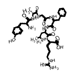 CC(C)CC(NC(=O)C(Cc1ccccc1)NC(=O)CNC(=O)[C@@H](C)NC(=O)C(N)Cc1ccc(O)cc1)C(=O)NC(CCCNC(=N)N)C(=O)O